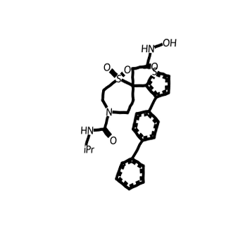 CC(C)NC(=O)N1CCC(CC(=O)NO)(c2sccc2-c2ccc(-c3ccccc3)cc2)S(=O)(=O)CC1